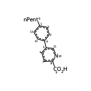 CCCCCc1ccc(-c2ccc(C(=O)O)nc2)cc1